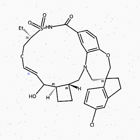 CC[C@H]1CC/C=C/C(O)[C@@H]2CC[C@H]2CN2C[C@@]3(CCc4cc(Cl)ccc43)COc3ccc(cc32)C(=O)NS1(=O)=O